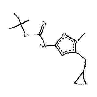 Cn1nc(NC(=O)OC(C)(C)C)cc1CC1CC1